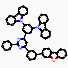 c1ccc(-c2nc(-c3cccc(-c4ccc5c(c4)oc4ccccc45)c3)cc(-c3cc(-n4c5ccccc5c5ccccc54)cc(-n4c5ccccc5c5ccccc54)c3)n2)cc1